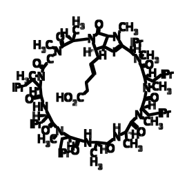 CC(C)C[C@H]1C(=O)N[C@@H](C(C)C)C(=O)N(C)[C@@H](CC(C)C)C(=O)N[C@@H](C)C(=O)N[C@H](C)C(=O)N(C)[C@@H](CC(C)C)C(=O)N(C)[C@@H](CC(C)C)C(=O)N(C)[C@@H](C(C)C)C2=I[C@H]3C(C(=O)N([C@@H]3C/C=C/CCC(=O)O)[C@@H](C)C(=O)N(C)CC(=O)N1C)N2C